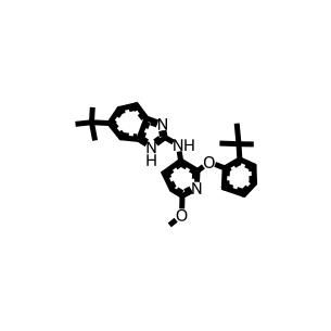 COc1ccc(Nc2nc3ccc(C(C)(C)C)cc3[nH]2)c(Oc2ccccc2C(C)(C)C)n1